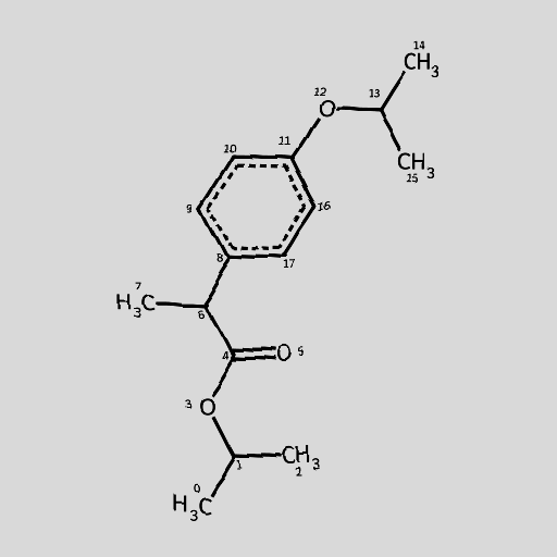 CC(C)OC(=O)C(C)c1ccc(OC(C)C)cc1